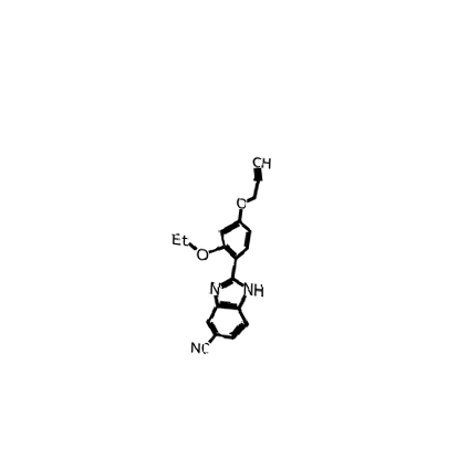 C#CCOc1ccc(-c2nc3cc(C#N)ccc3[nH]2)c(OCC)c1